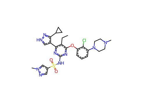 CCc1c(Oc2cccc(N3CCN(C)CC3)c2Cl)nc(NS(=O)(=O)c2cnn(C)c2)nc1-c1c[nH]nc1C1CC1